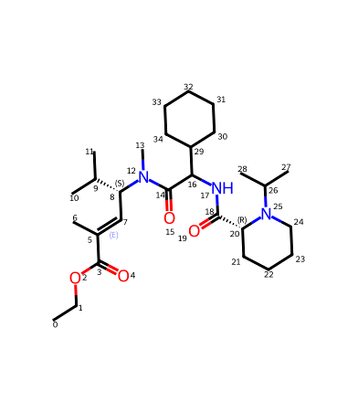 CCOC(=O)/C(C)=C/[C@H](C(C)C)N(C)C(=O)C(NC(=O)[C@H]1CCCCN1C(C)C)C1CCCCC1